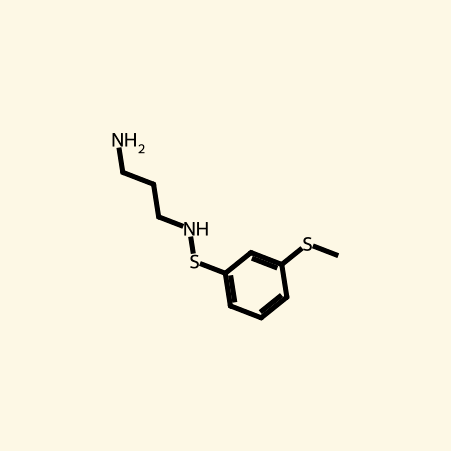 CSc1cccc(SNCCCN)c1